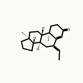 C/C=C1\C[C@H]2[C@@H]3CCC[C@@]3(C)CC[C@@H]2[C@@]2(C)CCC(=O)C=C12